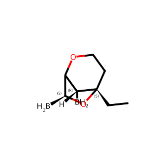 B[C@@H]1O[C@@]2(CC)CCOC1[C@H]2B